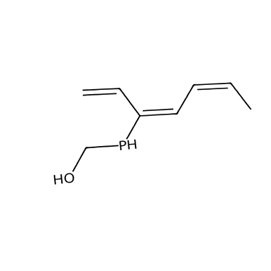 C=C/C(=C\C=C/C)PCO